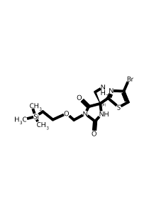 C[Si](C)(C)CCOCN1C(=O)N[C@@](CN)(c2nc(Br)cs2)C1=O